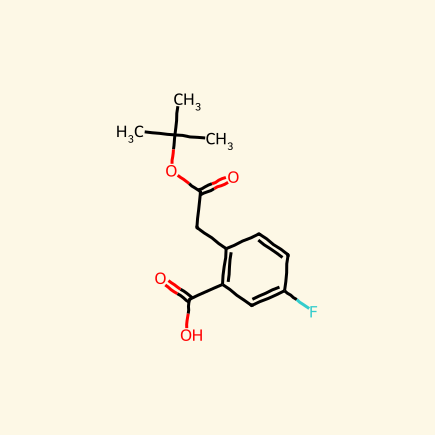 CC(C)(C)OC(=O)Cc1ccc(F)cc1C(=O)O